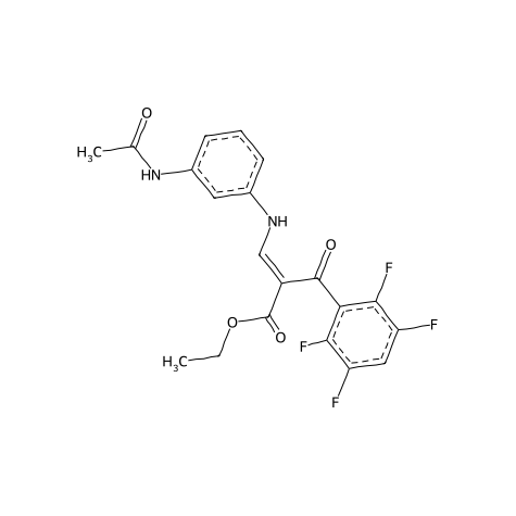 CCOC(=O)/C(=C/Nc1cccc(NC(C)=O)c1)C(=O)c1c(F)c(F)cc(F)c1F